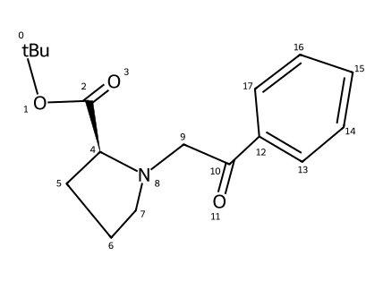 CC(C)(C)OC(=O)[C@@H]1CCCN1CC(=O)c1ccccc1